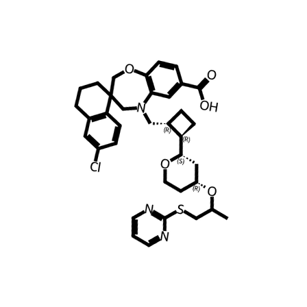 CC(CSc1ncccn1)O[C@@H]1CCO[C@H]([C@@H]2CC[C@H]2CN2CC3(CCCc4cc(Cl)ccc43)COc3ccc(C(=O)O)cc32)C1